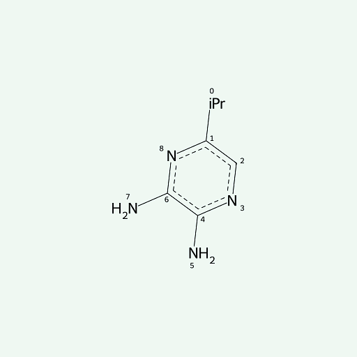 CC(C)c1cnc(N)c(N)n1